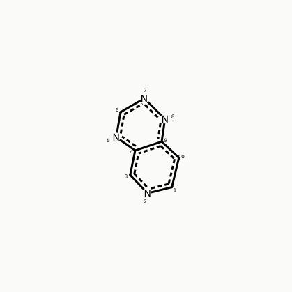 [c]1cncc2ncnnc12